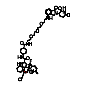 C=C(Cl)/C=C\C=C(/F)[C@H]1[C@H](C(=O)N[C@H]2CC[C@H](C(=O)NCCOCCOCCOCCNc3cccc4c3CN(C3CCC(=O)NC3=O)C4=O)CC2)NC2(CCCCC2)[C@@]12C(=O)Nc1cc(Cl)ccc12